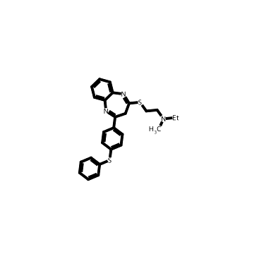 CCN(C)CCSC1=Nc2ccccc2N=C(c2ccc(Sc3ccccc3)cc2)C1